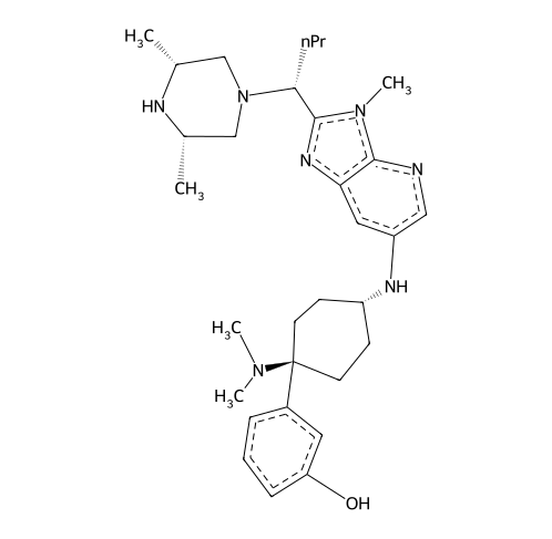 CCC[C@H](c1nc2cc(N[C@H]3CC[C@](c4cccc(O)c4)(N(C)C)CC3)cnc2n1C)N1C[C@@H](C)N[C@@H](C)C1